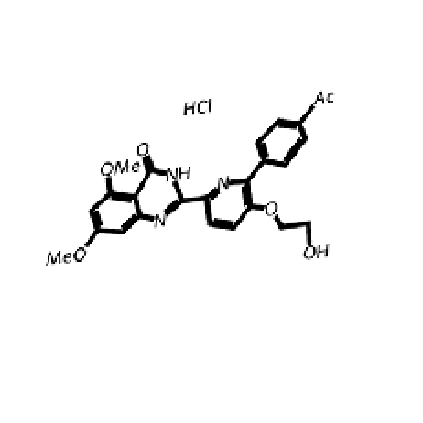 COc1cc(OC)c2c(=O)[nH]c(-c3ccc(OCCO)c(-c4ccc(C(C)=O)cc4)n3)nc2c1.Cl